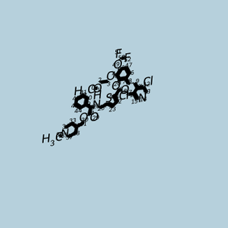 COCCOc1cc([C@H](Cc2c(Cl)cncc2Cl)OC(=O)c2ccc(CNC(C(=O)OCC3CCN(C)CC3)c3ccccc3)s2)ccc1OC(F)F